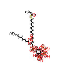 CCCCCCCCCCCCCCCC(=O)O[C@H](COCOCCCCCCCCCSC(=O)CCC)COP(=O)(O)OC1C(O)[C@H](OP(=O)(O)O)C(OP(=O)(O)O)[C@H](OP(=O)(O)O)[C@@H]1O